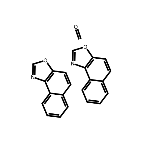 C=O.c1ccc2c(c1)ccc1ocnc12.c1ccc2c(c1)ccc1ocnc12